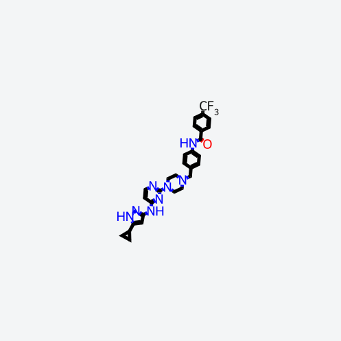 O=C(Nc1ccc(CN2CCN(c3nccc(Nc4cc(C5CC5)[nH]n4)n3)CC2)cc1)c1ccc(C(F)(F)F)cc1